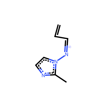 C=C/C=N\n1ccnc1C